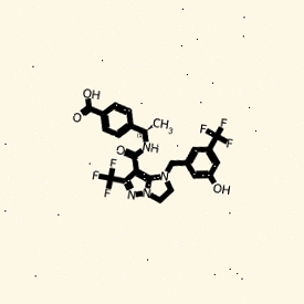 C[C@H](NC(=O)c1c(C(F)(F)F)nn2c1N(Cc1cc(O)cc(C(F)(F)F)c1)CC2)c1ccc(C(=O)O)cc1